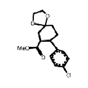 COC(=O)C1CC2(CCC1c1ccc(Cl)cc1)OCCO2